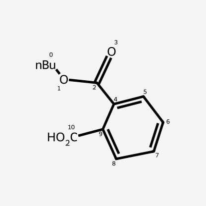 [CH2]CCCOC(=O)c1ccccc1C(=O)O